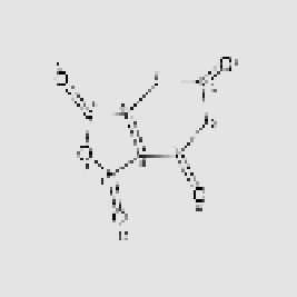 O=C1CC(=O)C2=C(C1)C(=O)OC2=O